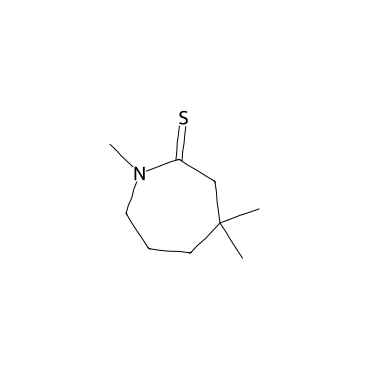 CN1CCCC(C)(C)CC1=S